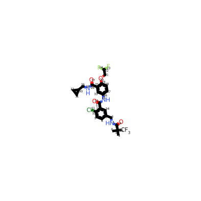 CC(C)(C(=O)NCc1ccc(Cl)c(C(=O)Nc2ccc(OCC(F)F)c(C(=O)NCC3CC3)c2)c1)C(F)(F)F